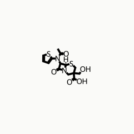 CC(=O)N(c1cccs1)C1C(=O)N2CC(CO)(C(=O)O)CS[C@H]12